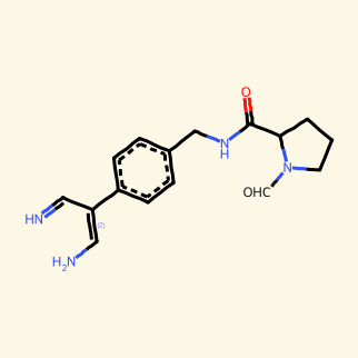 N=C/C(=C\N)c1ccc(CNC(=O)C2CCCN2C=O)cc1